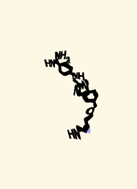 Cn1c(CNc2ccc(C(=N)N)cc2)nc2cc(COC=C/C=C\C=N)ccc21